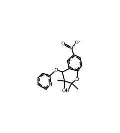 CC1(C)Oc2ccc([N+](=O)[O-])cc2C(Oc2ccccn2)C1(C)O